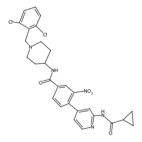 O=C(NC1CCN(Cc2c(Cl)cccc2Cl)CC1)c1ccc(-c2ccnc(NC(=O)C3CC3)c2)c([N+](=O)[O-])c1